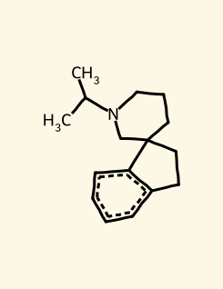 CC(C)N1CCCC2(CCc3ccccc32)C1